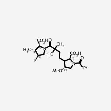 CO[C@H]1CN(C(=O)C(C)C)[C@H](C(=O)O)C1CCC(C)(C)C(=O)N1C[C@@H](F)[C@H](C)[C@H]1C(=O)O